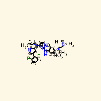 COc1cc(N(C)CCN(C)C)c([N+](=O)[O-])cc1Nc1nccc(N2CC(C)(C)c3ncc(-c4c(F)cccc4F)cc32)n1